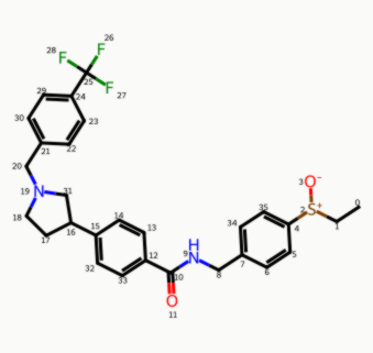 CC[S+]([O-])c1ccc(CNC(=O)c2ccc(C3CCN(Cc4ccc(C(F)(F)F)cc4)C3)cc2)cc1